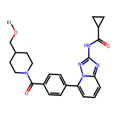 CCOCC1CCN(C(=O)c2ccc(-c3cccc4nc(NC(=O)C5CC5)nn34)cc2)CC1